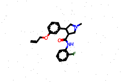 C=CCOc1cccc(C2CN(C)CC2C(=O)Nc2ccccc2F)c1